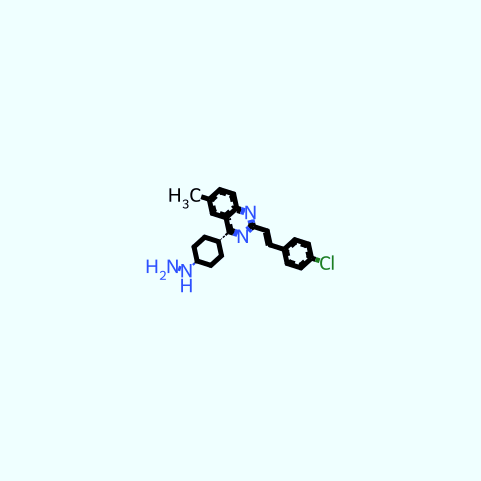 Cc1ccc2nc(C=Cc3ccc(Cl)cc3)nc([C@H]3CC[C@@H](NN)CC3)c2c1